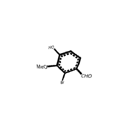 COc1c(O)ccc(C=O)c1Br